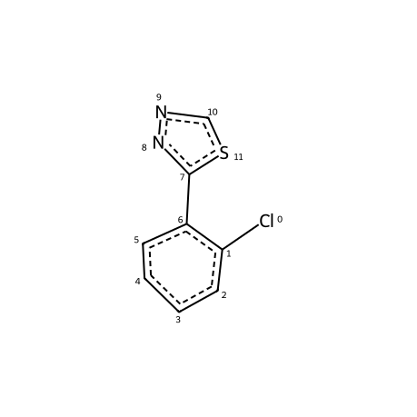 Clc1ccccc1-c1nncs1